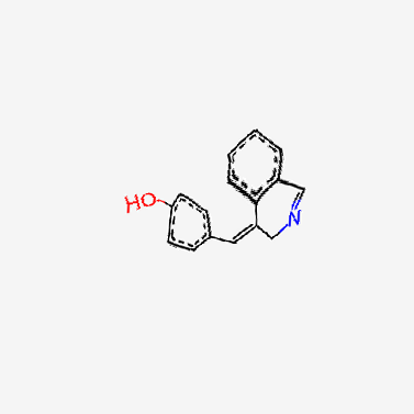 Oc1ccc(/C=C2/CN=Cc3ccccc32)cc1